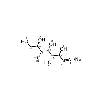 [N-]=[N+]=NC(O)[C@H](O)[C@@H](O)[C@H](O)[C@H](O)CO